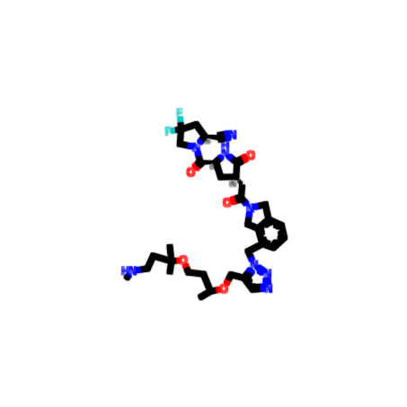 CNCCC(C)(C)OCCC(C)OCc1cnnn1Cc1cccc2c1CN(C(=O)C[C@@H]1C[C@@H](C(=O)N3CC(F)(F)C[C@H]3C#N)NC1=O)C2